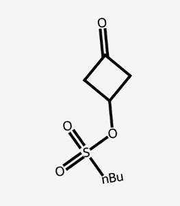 CCCCS(=O)(=O)OC1CC(=O)C1